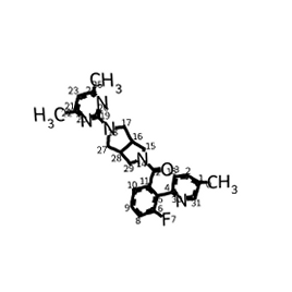 Cc1ccc(-c2c(F)cccc2C(=O)N2CC3CN(c4nc(C)cc(C)n4)CC3C2)nc1